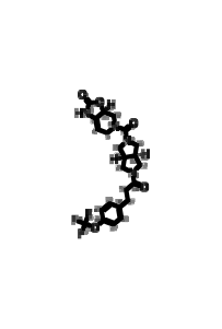 O=C1NC2=CCN(C(=O)N3C[C@H]4CN(C(=O)CCc5ccc(OC(F)(F)F)cc5)C[C@@H]4C3)C[C@H]2O1